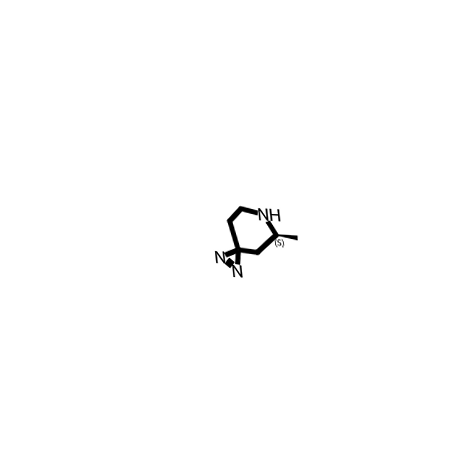 C[C@H]1CC2(CCN1)N=N2